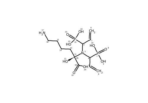 C=CC(N(C(C=C)P(=O)(O)O)[C@@](O)(CCCCN)C(=O)O)P(=O)(O)O